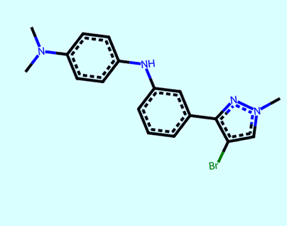 CN(C)c1ccc(Nc2cccc(-c3nn(C)cc3Br)c2)cc1